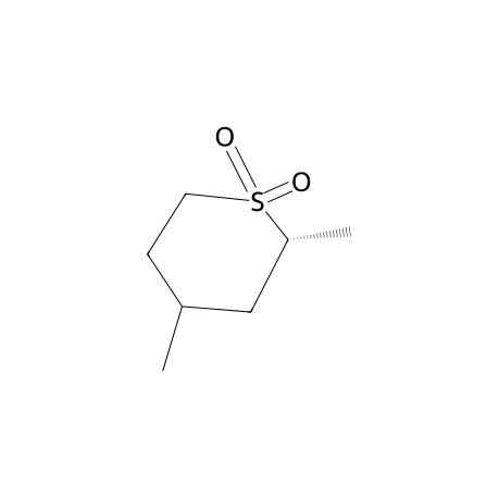 CC1CCS(=O)(=O)[C@H](C)C1